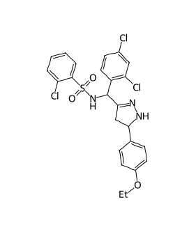 CCOc1ccc(C2CC(C(NS(=O)(=O)c3ccccc3Cl)c3ccc(Cl)cc3Cl)=NN2)cc1